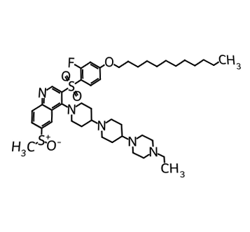 CCCCCCCCCCCCOc1ccc(S(=O)(=O)c2cnc3ccc([S+](C)[O-])cc3c2N2CCC(N3CCC(N4CCN(CC)CC4)CC3)CC2)c(F)c1